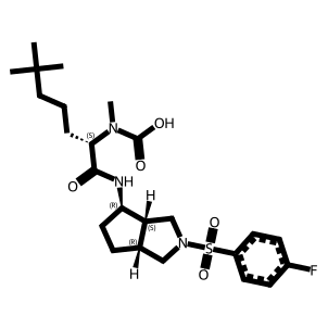 CN(C(=O)O)[C@@H](CCCC(C)(C)C)C(=O)N[C@@H]1CC[C@H]2CN(S(=O)(=O)c3ccc(F)cc3)C[C@H]21